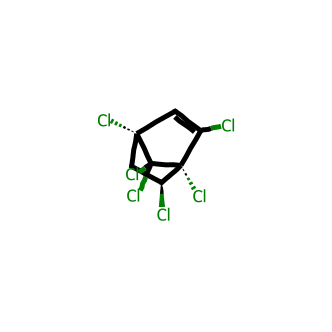 ClC1=C[C@]2(Cl)C[C@H](Cl)[C@@]1(Cl)C2(Cl)Cl